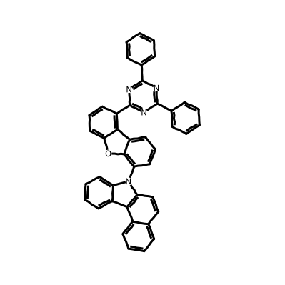 c1ccc(-c2nc(-c3ccccc3)nc(-c3cccc4oc5c(-n6c7ccccc7c7c8ccccc8ccc76)cccc5c34)n2)cc1